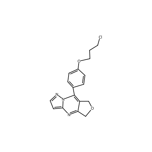 ClCCCOc1ccc(-c2c3c(nc4ccnn24)COC3)cc1